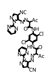 [C-]#[N+]c1cnn(-c2ncccn2)c1N=NC(C(C)=O)C(=O)Nc1cc(Cl)c(NC(=O)C(N=Nc2c(C#N)cnn2-c2ncccn2)C(C)=O)cc1Cl